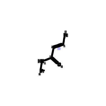 CC/C=C/C(=O)NC(C)C